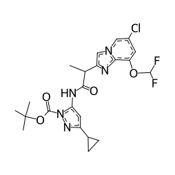 CC(C(=O)Nc1cc(C2CC2)nn1C(=O)OC(C)(C)C)c1cn2cc(Cl)cc(OC(F)F)c2n1